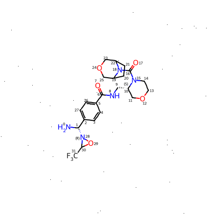 NC(c1ccc(C(=O)NC[C@H]2COCCN2C(=O)N2C3CCC2COC3)cc1)[N@]1OC1C(F)(F)F